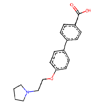 O=C(O)c1ccc(-c2ccc(OCCN3CCCC3)cc2)cc1